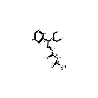 CCN(CC)C(C=NC(=S)NC(=O)O)c1ccccc1